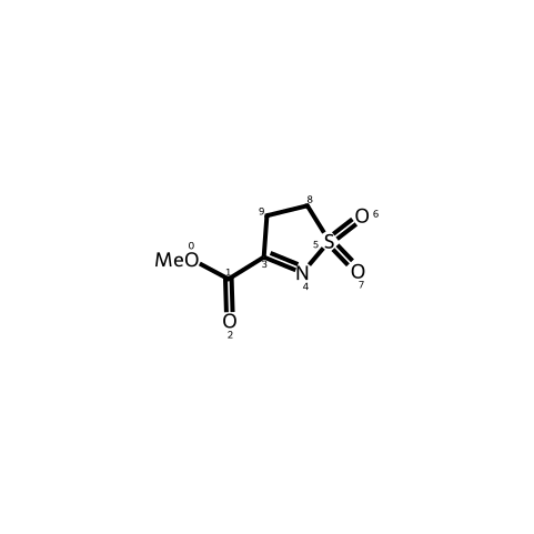 COC(=O)C1=NS(=O)(=O)CC1